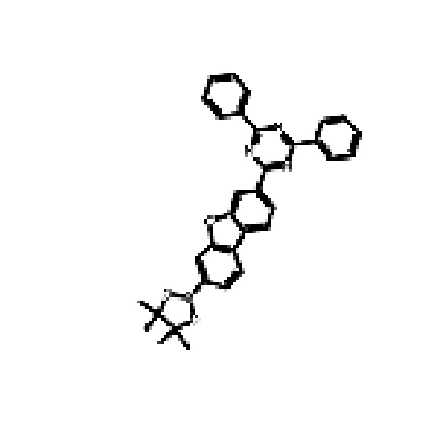 CC1(C)OB(c2ccc3c(c2)oc2cc(-c4nc(-c5ccccc5)nc(-c5ccccc5)n4)ccc23)OC1(C)C